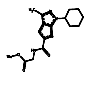 Cc1nn(C2CCCCC2)c2sc(C(=O)NCC(=O)OC(C)(C)C)cc12